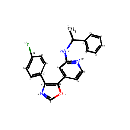 CC(Nc1cc(-c2ocnc2-c2ccc(F)cc2)ccn1)c1ccccc1